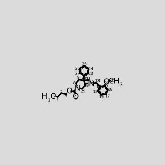 CCCCOC(=O)N1CCC(CNCc2ccccc2OC)(c2ccccc2)CC1